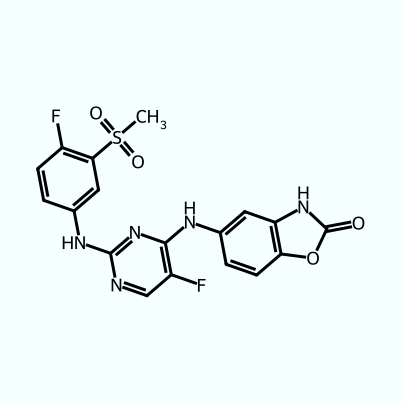 CS(=O)(=O)c1cc(Nc2ncc(F)c(Nc3ccc4oc(=O)[nH]c4c3)n2)ccc1F